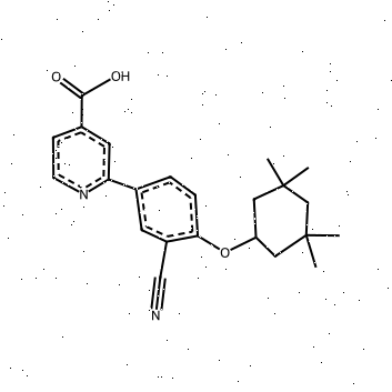 CC1(C)CC(Oc2ccc(-c3cc(C(=O)O)ccn3)cc2C#N)CC(C)(C)C1